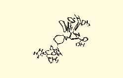 CNc1nc(C(=O)O)cc(N2CCCC(NC(=O)OC(C)(C)C)C2)c1[N+](=O)[O-]